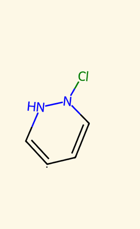 ClN1C=C[C]=CN1